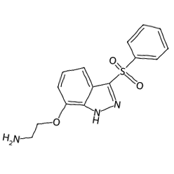 NCCOc1cccc2c(S(=O)(=O)c3ccccc3)n[nH]c12